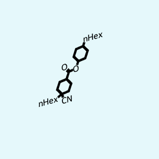 CCCCCCC1CCC(OC(=O)C2CCC(C#N)(CCCCCC)CC2)CC1